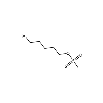 CS(=O)(=S)OCCCCCBr